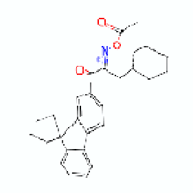 CCC1(CC)c2ccccc2-c2ccc(C(=O)/C(CC3CCCCC3)=N/OC(C)=O)cc21